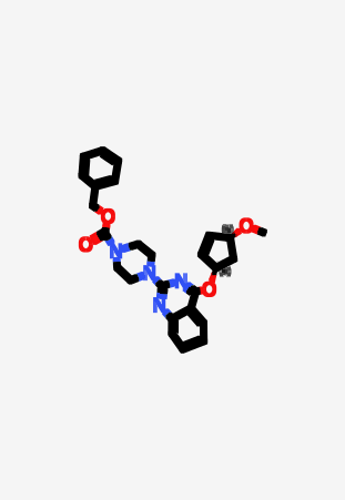 CO[C@@H]1C=C[C@H](Oc2nc(N3CCN(C(=O)OCc4ccccc4)CC3)nc3ccccc23)C1